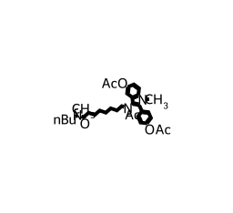 CCCCN(C)C(=O)CCCCCCCN(C(C)=O)c1c(-c2ccc(OC(C)=O)cc2)n(C)c2ccc(OC(C)=O)cc12